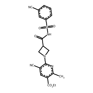 CCOC(=O)c1cc(C#N)c(N2CC(C(=O)NS(=O)(=O)c3cccc(C#N)c3)C2)nc1C